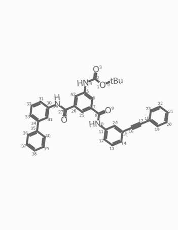 CC(C)(C)OC(=O)Nc1cc(C(=O)Nc2cccc(C#Cc3ccccc3)c2)cc(C(=O)Nc2cccc(-c3ccccc3)c2)c1